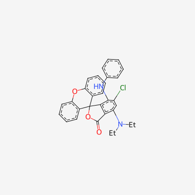 CCN(CC)c1cc(Cl)c(Nc2ccccc2)c2c1C(=O)OC21c2ccccc2Oc2ccccc21